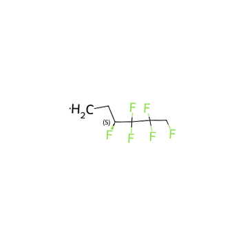 [CH2]C[C@H](F)C(F)(F)C(F)(F)CF